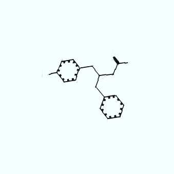 O=C(O)CC(Cc1ccccc1)Cc1ccc(O)cc1